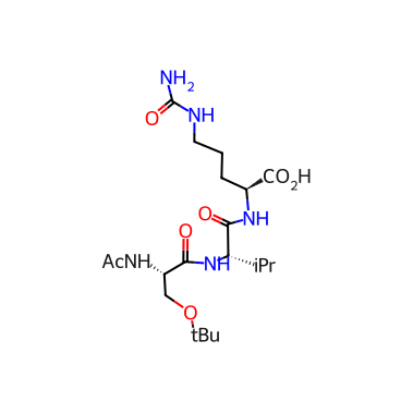 CC(=O)N[C@@H](COC(C)(C)C)C(=O)N[C@H](C(=O)N[C@@H](CCCNC(N)=O)C(=O)O)C(C)C